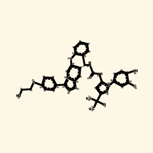 CCC(C)(C)c1cc(NC(=O)NCc2ccccc2Sc2ccc3nnc(-c4ccc(OCCO)cc4)n3c2)n(-c2ccc(O)c(Cl)c2)n1